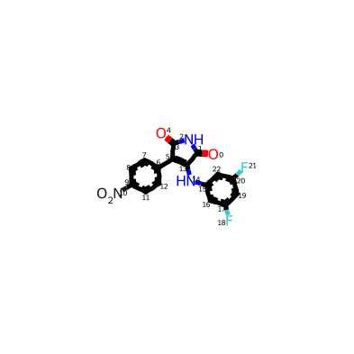 O=C1NC(=O)C(c2ccc([N+](=O)[O-])cc2)=C1Nc1cc(F)cc(F)c1